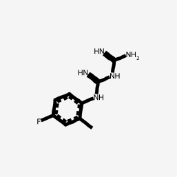 Cc1cc(F)ccc1NC(=N)NC(=N)N